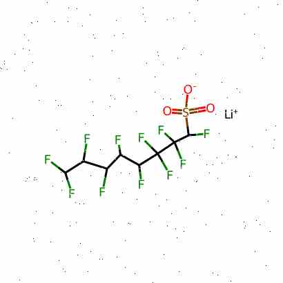 O=S(=O)([O-])C(F)C(F)(F)C(F)(F)C(F)C(F)C(F)C(F)C(F)F.[Li+]